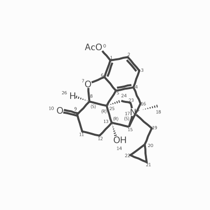 CC(=O)Oc1ccc2c3c1O[C@@H]1C(=O)CC[C@]4(O)C(C2)[N@+](C)(CC2CC2)CC[C@@]314